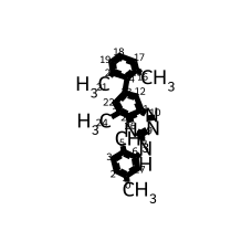 Cc1ccc(C)c(Nc2nnc3cc(-c4c(C)cccc4C)cc(C)c3n2)c1